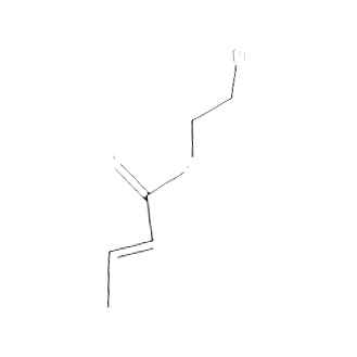 CC=CC(=O)OCCBr